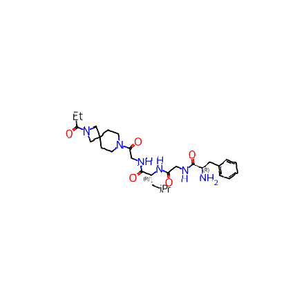 CCC(=O)N1CC2(CCN(C(=O)CNC(=O)[C@@H](CC(C)C)NC(=O)CNC(=O)[C@H](N)Cc3ccccc3)CC2)C1